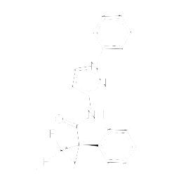 O=C(Nc1ccn(-c2ccccc2)n1)[C@]1(c2ccccc2)CC1(F)F